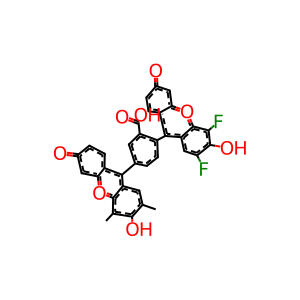 Cc1cc2c(-c3ccc(-c4c5ccc(=O)cc-5oc5c(F)c(O)c(F)cc45)c(C(=O)O)c3)c3ccc(=O)cc-3oc2c(C)c1O